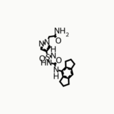 N=S(=O)(NC(=O)Nc1c2c(cc3c1CCC3)CCC2)c1cnn(CC(N)=O)c1